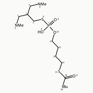 CNCC(CNC)CSP(=O)(O)OCCCCSC(=O)C(C)(C)C